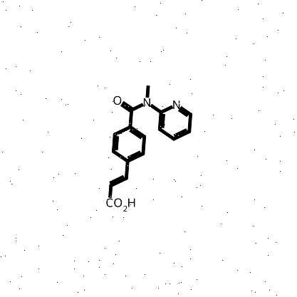 CN(C(=O)c1ccc(C=CC(=O)O)cc1)c1ccccn1